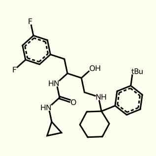 CC(C)(C)c1cccc(C2(NCC(O)C(Cc3cc(F)cc(F)c3)NC(=O)NC3CC3)CCCCC2)c1